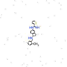 Cc1ccccc1CNC1CCc2cc(NC(=N)c3cccs3)ccc21